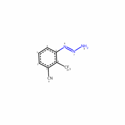 N#Cc1cccc(N=NN)c1C(F)(F)F